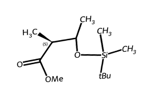 COC(=O)[C@@H](C)C(C)O[Si](C)(C)C(C)(C)C